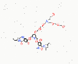 C=Nc1cc(OCc2cc(OCCOCCOCCN(CCCC=O)CCOCCOCCOC)cc(COc3cc4c(cc3OC)C(=O)N3C/C(=C/C)CC3C=N4)n2)c(OC)cc1C(=O)N1C/C(=C/C)C[C@H]1C